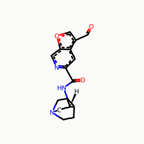 O=Cc1coc2cnc(C(=O)N[C@H]3CN4CCC3CC4)cc12